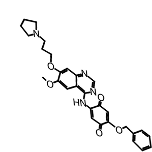 COc1cc2c(NC3=CC(=O)C(OCc4ccccc4)=CC3=O)ncnc2cc1OCCCN1CCCC1